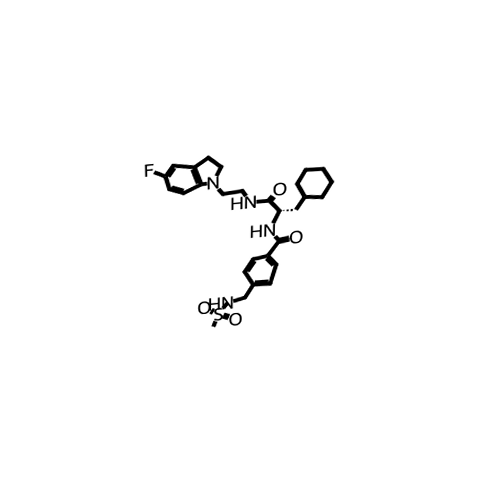 CS(=O)(=O)NCc1ccc(C(=O)N[C@@H](CC2CCCCC2)C(=O)NCCN2CCc3cc(F)ccc32)cc1